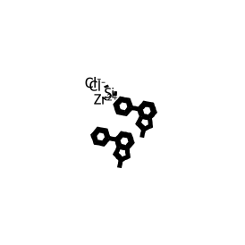 CC1=Cc2c(cccc2-c2ccccc2)C1.CC1=Cc2c(cccc2-c2ccccc2)C1.C[Si](C)=[Zr+2].[Cl-].[Cl-]